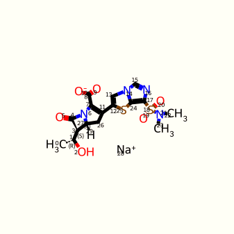 C[C@@H](O)[C@H]1C(=O)N2C(C(=O)[O-])=C(c3cn4cnc(S(=O)(=O)N(C)C)c4s3)C[C@H]12.[Na+]